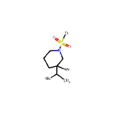 CCCCC(C)C1(C(C)C)CCCN(S(=O)(=O)CC)C1